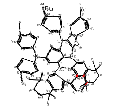 Cc1ccc(N(c2ccc(C)cc2)c2cc3c4c(c2)N(c2ccc(C(C)(C)C)cc2)c2c(oc5ccc(C(C)(C)C)cc25)B4c2cc4c(cc2N3c2cc3c(cc2C2=CC=CCC2)C(C)(C)CCC3(C)C)C(C)(C)CCC4(C)C)cc1